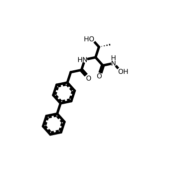 C[C@@H](O)C(NC(=O)Cc1ccc(-c2ccccc2)cc1)C(=O)NO